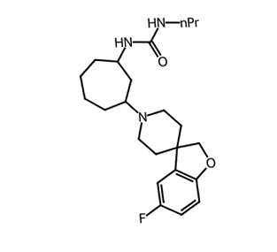 CCCNC(=O)NC1CCCCC(N2CCC3(CC2)COc2ccc(F)cc23)C1